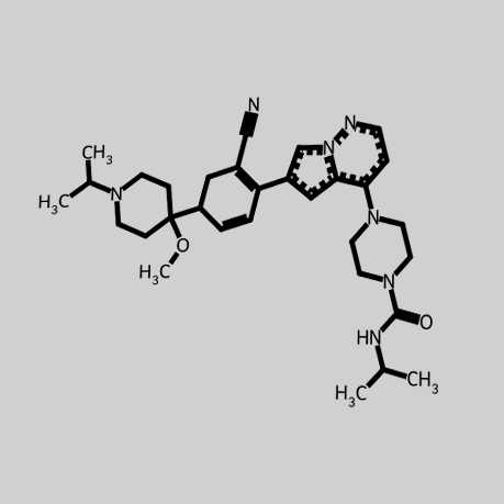 COC1(C2C=CC(c3cc4c(N5CCN(C(=O)NC(C)C)CC5)ccnn4c3)=C(C#N)C2)CCN(C(C)C)CC1